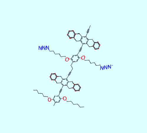 CC#Cc1c2c(c(C#Cc3cc(OCCCCCCN=[N+]=[N-])c(CCC#Cc4c5c(c(C#Cc6cc(OCCCCCC)c(C)cc6OCCCCCC)c6c4C4c7ccccc7C6c6ccccc64)C4c6ccccc6C5c5ccccc54)cc3OCCCCCCN=[N+]=[N-])c3c1C1c4ccccc4C3c3ccccc31)C1c3ccccc3C2c2ccccc21